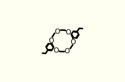 CCc1ccc2c(c1)OCCOCCOc1ccc(CC)cc1OCCOCCO2